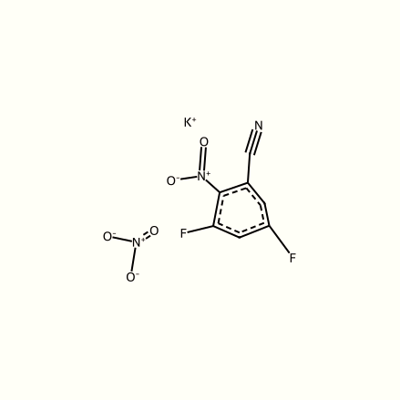 N#Cc1cc(F)cc(F)c1[N+](=O)[O-].O=[N+]([O-])[O-].[K+]